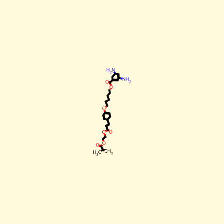 C=C(C)C(=O)OCCOC(=O)/C=C/C1C=CC(OCCCCCCOC(=O)C2=CC(N)=CC(N)C2)=CC1